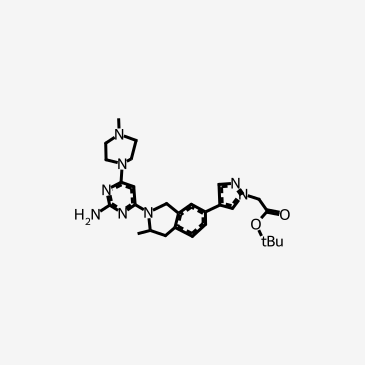 CC1Cc2ccc(-c3cnn(CC(=O)OC(C)(C)C)c3)cc2CN1c1cc(N2CCN(C)CC2)nc(N)n1